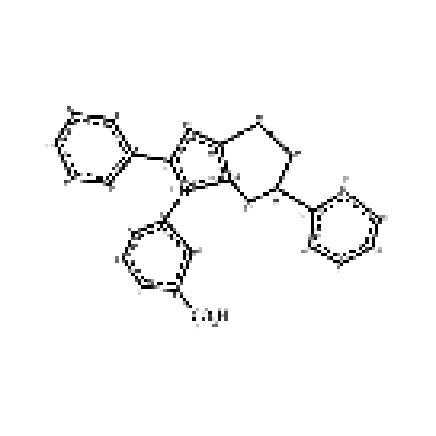 O=C(O)c1cccc(-n2c(-c3ccccc3)cc3c2CC(c2ccccn2)CC3)c1